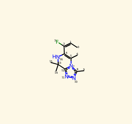 C/C=C(/F)C1=C(C)n2c(C)nnc2C(C)(C)N1